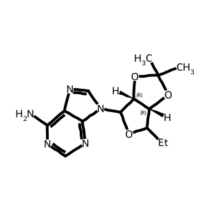 CCC1OC(n2cnc3c(N)ncnc32)[C@@H]2OC(C)(C)O[C@H]12